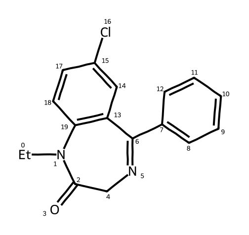 CCN1C(=O)CN=C(c2ccccc2)c2cc(Cl)ccc21